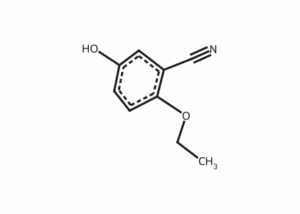 CCOc1ccc(O)cc1C#N